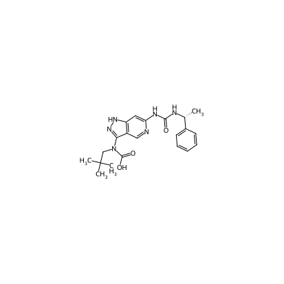 C[C@@H](NC(=O)Nc1cc2[nH]nc(N(CC(C)(C)C)C(=O)O)c2cn1)c1ccccc1